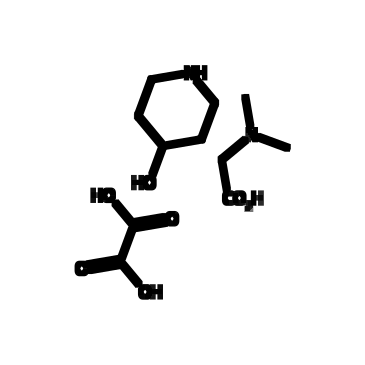 CN(C)CC(=O)O.O=C(O)C(=O)O.OC1CCNCC1